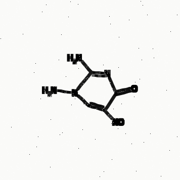 Nc1nc(=O)c(N=O)cn1N